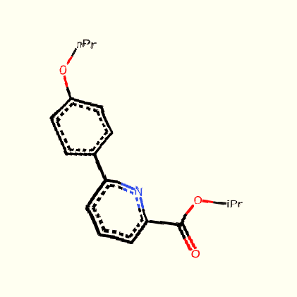 CCCOc1ccc(-c2cccc(C(=O)OC(C)C)n2)cc1